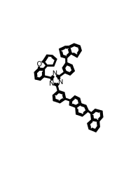 C1=CCC2C(=C1)Oc1cccc(-c3nc(-c4cccc(-c5ccc6cc(-c7cccc8ccccc78)ccc6c5)c4)nc(-c4cccc(-c5cccc6ccccc56)c4)n3)c12